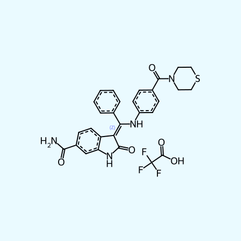 NC(=O)c1ccc2c(c1)NC(=O)/C2=C(\Nc1ccc(C(=O)N2CCSCC2)cc1)c1ccccc1.O=C(O)C(F)(F)F